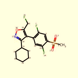 CS(=O)(=O)c1cc(F)c(-c2c(C3CCCCC3)noc2CF)cc1F